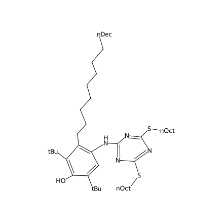 CCCCCCCCCCCCCCCCCCc1c(Nc2nc(SCCCCCCCC)nc(SCCCCCCCC)n2)cc(C(C)(C)C)c(O)c1C(C)(C)C